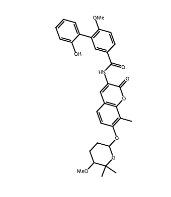 COc1ccc(C(=O)Nc2cc3ccc(OC4CCC(OC)C(C)(C)O4)c(C)c3oc2=O)cc1-c1ccccc1O